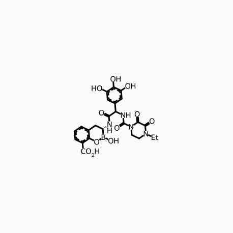 CCN1CCN(C(=O)NC(C(=O)N[C@H]2Cc3cccc(C(=O)O)c3OB2O)c2cc(O)c(O)c(O)c2)C(=O)C1=O